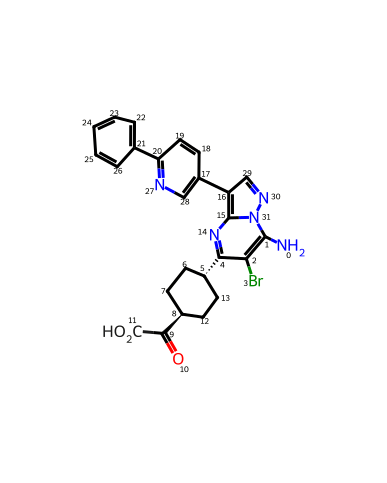 Nc1c(Br)c([C@H]2CC[C@H](C(=O)C(=O)O)CC2)nc2c(-c3ccc(-c4ccccc4)nc3)cnn12